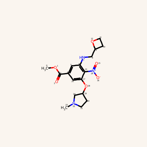 COC(=O)c1cc(NCC2CCO2)c([N+](=O)[O-])c(OC2CCN(C)C2)c1